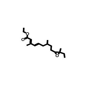 CCOC(=O)C=C(C)C=CCC(C)CCC1OC1(C)CC